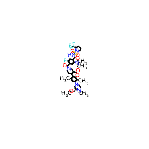 COC[C@H]1CN(c2cc(C)c3c4c(c(=O)oc3c2C)CN(C(=O)c2cc(N(C)C)c(C(=O)NS(=O)(=O)N3CCC[C@@H]3C(F)(F)F)cc2F)CC4)CCN1C